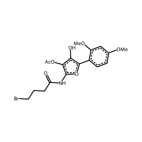 COc1ccc(-c2oc(NC(=O)CCCBr)c(OC(C)=O)c2O)c(OC)c1